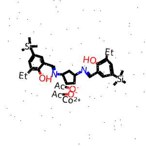 CC(=O)[O-].CC(=O)[O-].CCc1cc([Si](C)(C)C)cc(C=NC2CCC(N=Cc3cc([Si](C)(C)C)cc(CC)c3O)C2)c1O.[Co+2]